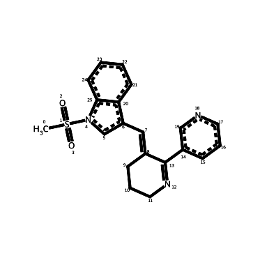 CS(=O)(=O)n1cc(C=C2CCCN=C2c2cccnc2)c2ccccc21